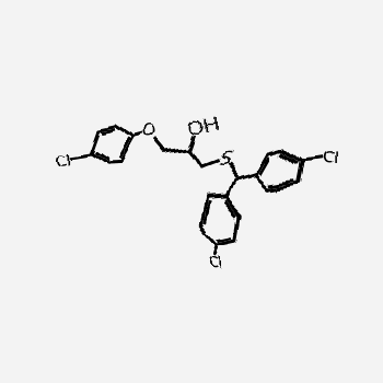 OC(COc1ccc(Cl)cc1)CSC(c1ccc(Cl)cc1)c1ccc(Cl)cc1